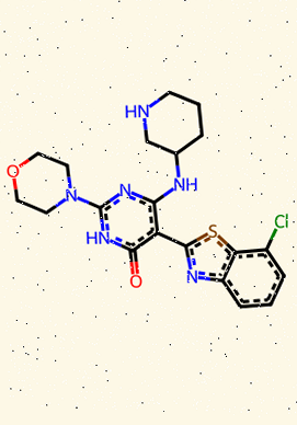 O=c1[nH]c(N2CCOCC2)nc(NC2CCCNC2)c1-c1nc2cccc(Cl)c2s1